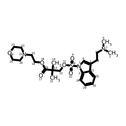 CN(C)CCc1cn(S(=O)(=O)OCC(C)(C)C(=O)OCCN2CCOCC2)c2ccccc12